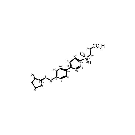 CC1CCCN1CCc1ccc(-c2ccc(S(=O)(=O)CCC(=O)O)cc2)cc1